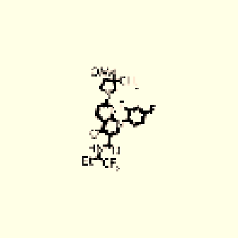 CCC(NC(=O)c1cn(-c2ccc(F)cc2F)c2nc(N3CCC(C)(OC)C3)ccc2c1=O)C(F)(F)F